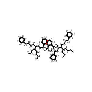 CCCCC(CCC)C(CCCCc1ccccc1)CCC(OC(=O)c1ccccc1C(=O)OC(CCC(CCCCc1ccccc1)C(CCC)CCCC)c1ccccc1)c1ccccc1